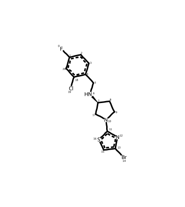 Fc1ccc(CN[C@H]2CCN(c3nc(Br)cs3)C2)c(Cl)c1